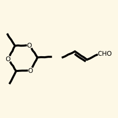 C/C=C/C=O.CC1OC(C)OC(C)O1